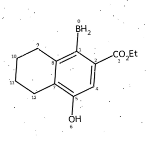 Bc1c(C(=O)OCC)cc(O)c2c1CCCC2